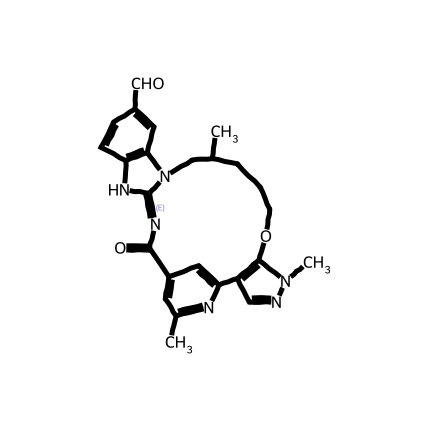 Cc1cc2cc(n1)-c1cnn(C)c1OCCCC(C)CN1/C(=N/C2=O)Nc2ccc(C=O)cc21